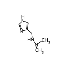 CN(C)NCc1c[nH]cn1